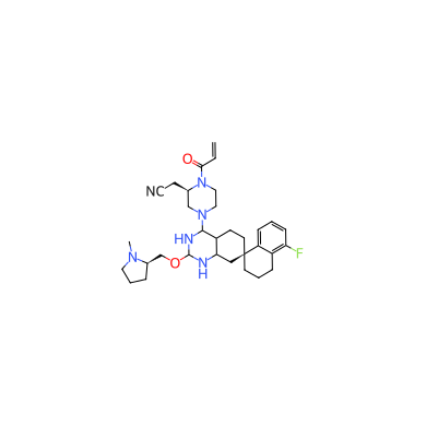 C=CC(=O)N1CCN(C2NC(OC[C@H]3CCCN3C)NC3C[C@@]4(CCCc5c(F)cccc54)CCC32)C[C@H]1CC#N